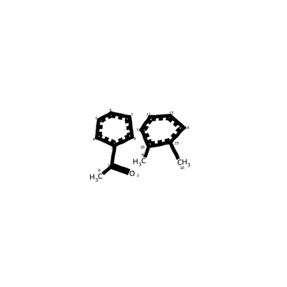 CC(=O)c1ccccc1.Cc1ccccc1C